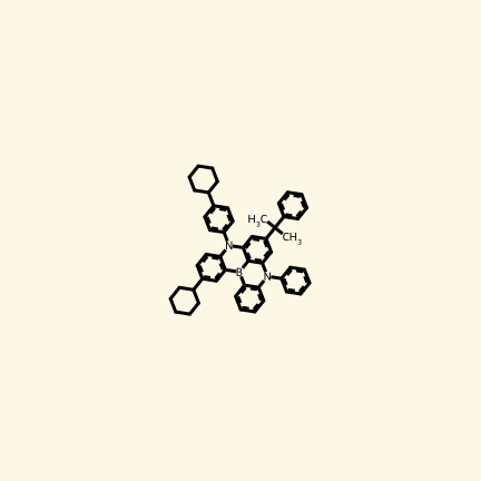 CC(C)(c1ccccc1)c1cc2c3c(c1)N(c1ccc(C4CCCCC4)cc1)c1ccc(C4CCCCC4)cc1B3c1ccccc1N2c1ccccc1